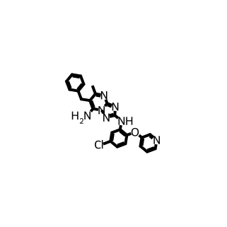 Cc1nc2nc(Nc3cc(Cl)ccc3Oc3cccnc3)nn2c(N)c1Cc1ccccc1